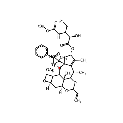 C=C[C@@H]1OC2[C@@H](C)C3=C(C)[C@@H](OC(=O)[C@H](O)[C@H](CC(C)C)NC(=O)OC(C)(C)C)C[C@@]3(C(C)(C)O)[C@@H](OC(=O)c3ccccc3)[C@@H]3[C@]4(OC(C)=O)CO[C@@H]4C[C@H](O1)[C@@]23C